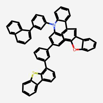 c1cc(-c2cccc(N(c3cccc(-c4cccc5ccccc45)c3)c3ccccc3-c3ccc4oc5ccccc5c4c3)c2)cc(-c2cccc3c2sc2ccccc23)c1